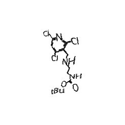 CC(C)(C)OC(=O)NCCNCc1c(Cl)cc(Cl)nc1Cl